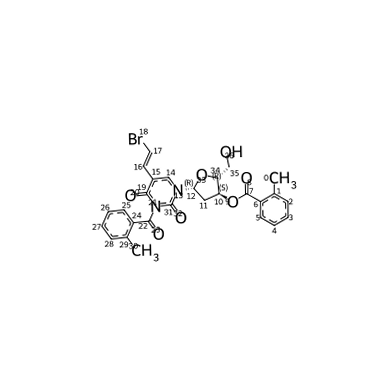 Cc1ccccc1C(=O)O[C@H]1C[C@H](n2cc(C=CBr)c(=O)n(C(=O)c3ccccc3C)c2=O)O[C@@H]1CO